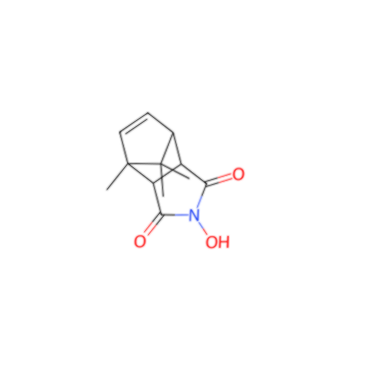 CC1(C)C2C=CC1(C)C1C(=O)N(O)C(=O)C21